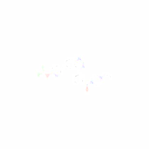 CN1CCN(C(=O)c2cccc(-c3ncnc4ccc(-c5ccc(OC(F)F)nc5)cc34)c2)CC1